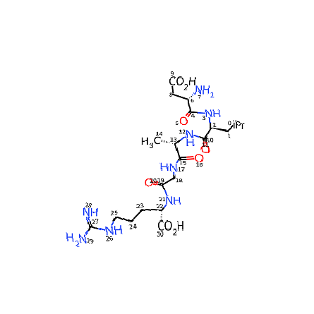 CC(C)C[C@H](NC(=O)[C@@H](N)CC(=O)O)C(=O)N[C@@H](C)C(=O)NCC(=O)N[C@@H](CCCNC(=N)N)C(=O)O